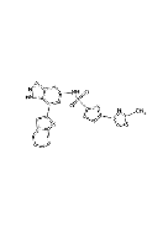 Cc1nc(-c2ccc(S(=O)(=O)Nc3cc(-c4cc5ccccc5s4)c4[nH]ncc4c3)s2)cs1